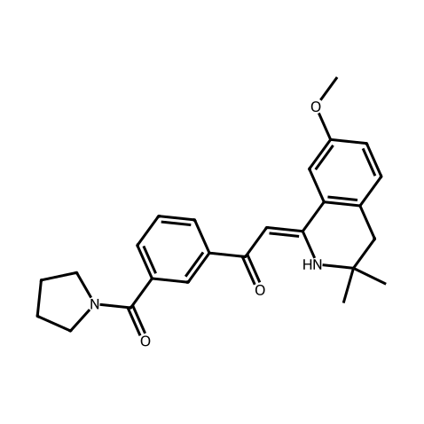 COc1ccc2c(c1)C(=CC(=O)c1cccc(C(=O)N3CCCC3)c1)NC(C)(C)C2